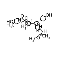 COC[C@H](C)Nc1ncc2c(-c3cnn(C(C)(C)C(=O)N4CCC(C)(O)CC4)c3)cc([C@H]3CC[C@H](O)CC3)n2n1